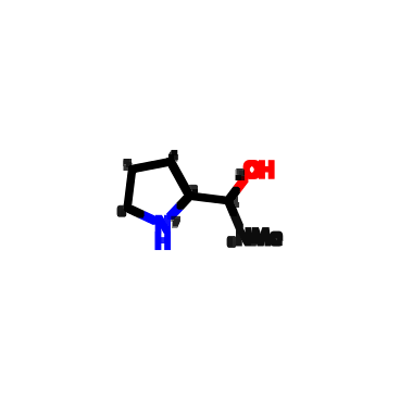 CNC(O)C1CCCN1